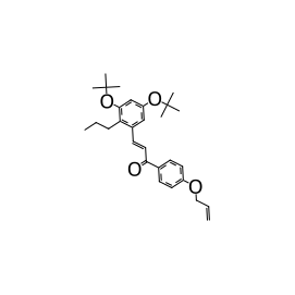 C=CCOc1ccc(C(=O)/C=C/c2cc(OC(C)(C)C)cc(OC(C)(C)C)c2CCC)cc1